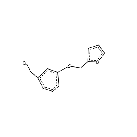 ClCc1cc(SCc2ccco2)ccn1